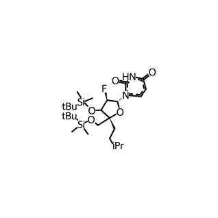 CC(C)CC[C@]1(CO[Si](C)(C)C(C)(C)C)O[C@@H](n2ccc(=O)[nH]c2=O)[C@H](F)C1O[Si](C)(C)C(C)(C)C